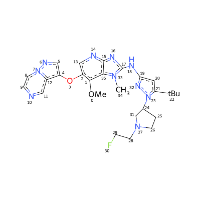 COc1c(Oc2cnn3ccncc23)cnc2nc(Nc3cc(C(C)(C)C)n(C4CCN(CCF)C4)n3)n(C)c12